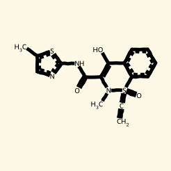 C=C=S1(=O)c2ccccc2C(O)=C(C(=O)Nc2ncc(C)s2)N1C